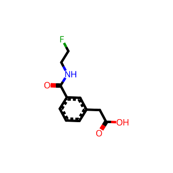 O=C(O)Cc1cccc(C(=O)NCCF)c1